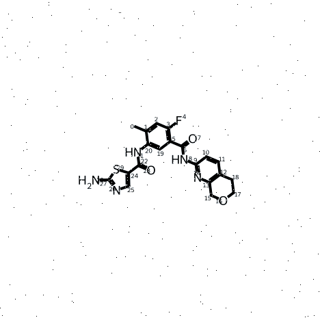 Cc1cc(F)c(C(=O)Nc2ccc3c(n2)COCC3)cc1NC(=O)c1cnc(N)s1